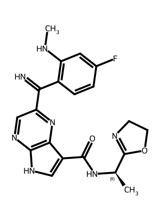 CNc1cc(F)ccc1C(=N)c1cnc2[nH]cc(C(=O)N[C@H](C)C3=NCCO3)c2n1